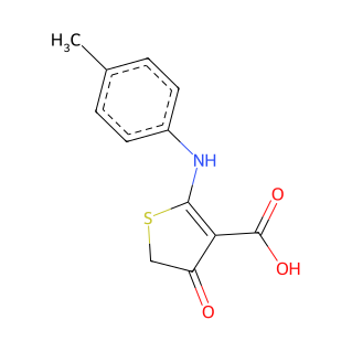 Cc1ccc(NC2=C(C(=O)O)C(=O)CS2)cc1